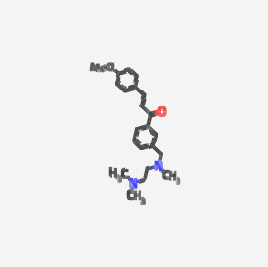 COc1ccc(/C=C/C(=O)c2cccc(CN(C)CCN(C)C)c2)cc1